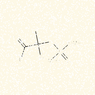 CCC(=O)C(C)(OP(=O)(OC)OC)C(C)=O